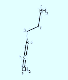 BCCB=C=C